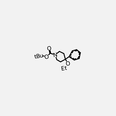 CCOC1(c2ccccc2)CCN(C(=O)OC(C)(C)C)CC1